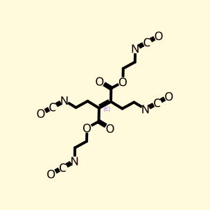 O=C=NCCOC(=O)/C(CCN=C=O)=C(\CCN=C=O)C(=O)OCCN=C=O